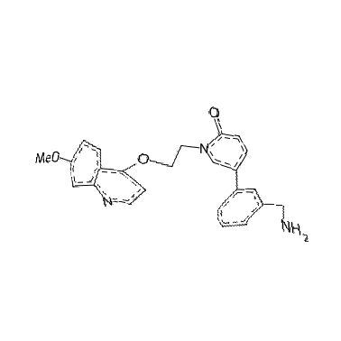 COc1ccc2c(OCCn3cc(-c4cccc(CN)c4)ccc3=O)ccnc2c1